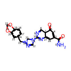 NC(=O)C1=CC(=O)C2C=NC(N3C=NN(Cc4ccc5c(c4)OCO5)C3)=NC2=C1